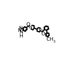 Cc1ccc(-c2ccccc2C(=O)N2CCC(C3CCN(C(=O)c4ccc5[nH]nnc5c4)CC3)CC2)cc1